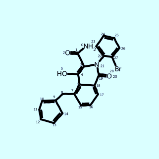 NC(=O)c1c(O)c2c(Cc3ccccc3)cccc2c(=O)n1-c1ccccc1Br